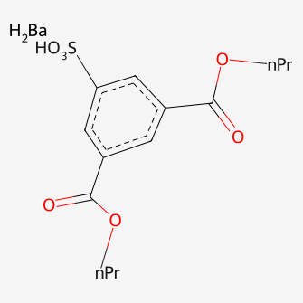 CCCOC(=O)c1cc(C(=O)OCCC)cc(S(=O)(=O)O)c1.[BaH2]